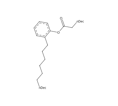 CCCCCCCCCCCCCCCCc1ccccc1OC(=O)CCCCCCCCCCC